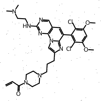 C=CC(=O)N1CCN(CCCc2cn3c(n2)c(-c2c(Cl)c(OC)cc(OC)c2Cl)cc2cnc(NCCN(C)C)nc23)CC1